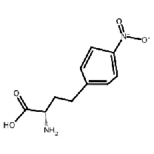 N[C@@H](CCc1ccc([N+](=O)[O-])cc1)C(=O)O